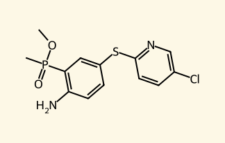 COP(C)(=O)c1cc(Sc2ccc(Cl)cn2)ccc1N